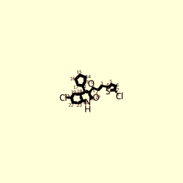 O=C(C=Cc1ccc(Cl)s1)c1c(-c2ccccc2)c2cc(Cl)ccc2[nH]c1=O